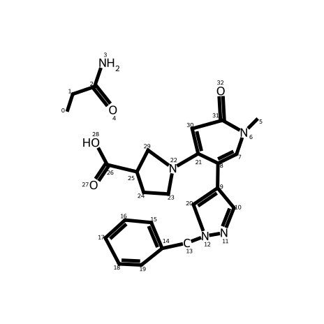 CCC(N)=O.Cn1cc(-c2cnn(Cc3ccccc3)c2)c(N2CCC(C(=O)O)C2)cc1=O